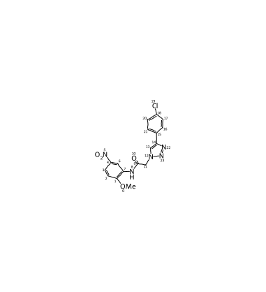 COc1ccc([N+](=O)[O-])cc1NC(=O)Cn1cc(-c2ccc(Cl)cc2)nn1